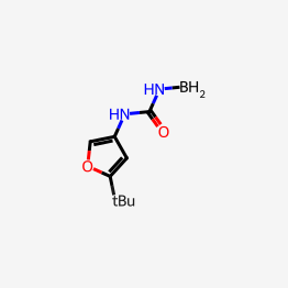 BNC(=O)Nc1coc(C(C)(C)C)c1